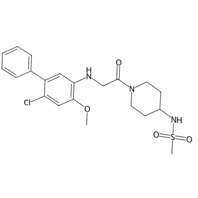 COc1cc(Cl)c(-c2ccccc2)cc1NCC(=O)N1CCC(NS(C)(=O)=O)CC1